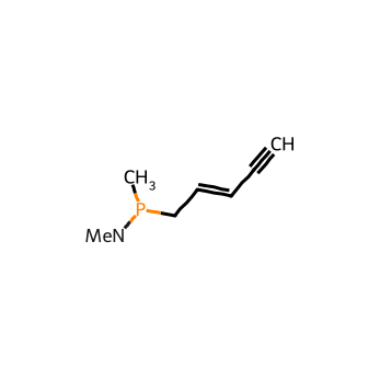 C#C/C=C/CP(C)NC